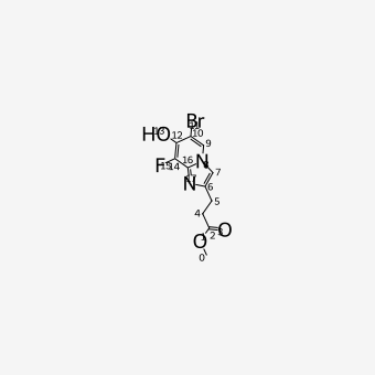 COC(=O)CCc1cn2cc(Br)c(O)c(F)c2n1